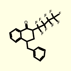 O=C1c2ccccc2C(Cc2ccccc2)CC1C(F)(F)C(F)(F)C(F)(F)C(F)(F)F